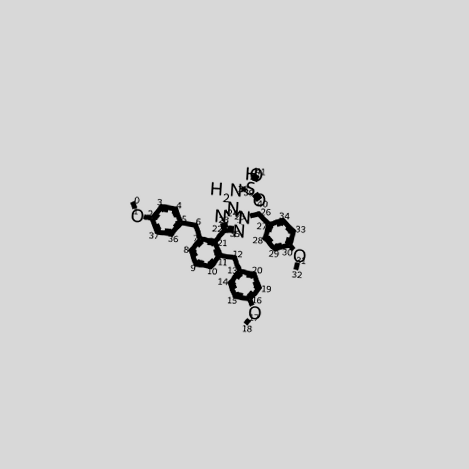 COc1ccc(Cc2cccc(Cc3ccc(OC)cc3)c2-c2nnn(Cc3ccc(OC)cc3)n2)cc1.N[SH](=O)=O